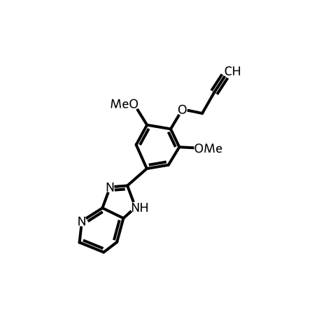 C#CCOc1c(OC)cc(-c2nc3ncccc3[nH]2)cc1OC